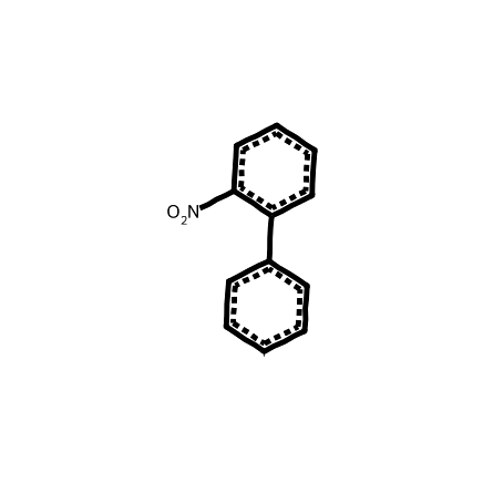 O=[N+]([O-])c1ccccc1-c1cc[c]cc1